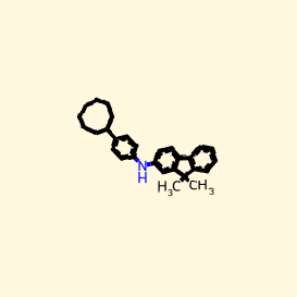 CC1(C)c2ccccc2-c2ccc(Nc3ccc(C4CCCCCCC4)cc3)cc21